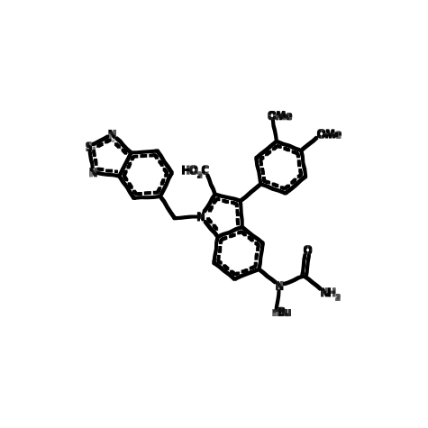 CCCCN(C(N)=O)c1ccc2c(c1)c(-c1ccc(OC)c(OC)c1)c(C(=O)O)n2Cc1ccc2nsnc2c1